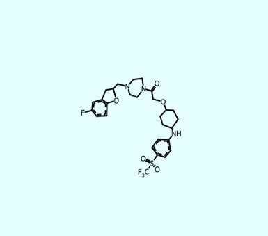 O=C(COC1CCC(Nc2ccc(S(=O)(=O)C(F)(F)F)cc2)CC1)N1CCN(CC2Cc3cc(F)ccc3O2)CC1